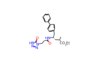 CCOC(=O)[C@H](C)C[C@@H](Cc1ccc(-c2ccccc2)cc1)NC(=O)CCn1nn[nH]c1=O